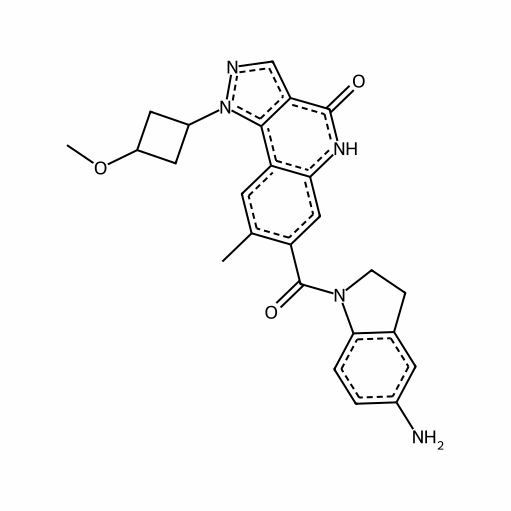 COC1CC(n2ncc3c(=O)[nH]c4cc(C(=O)N5CCc6cc(N)ccc65)c(C)cc4c32)C1